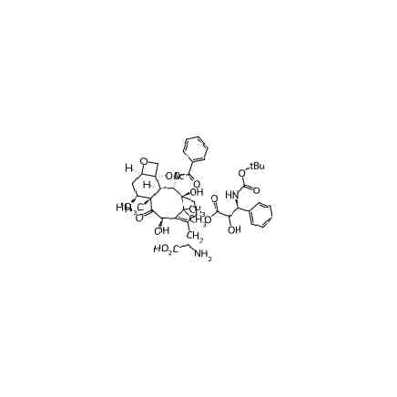 CC(=O)O[C@@]12CO[C@@H]1C[C@H](O)[C@@]1(C)C(=O)[C@H](O)C3=C(C)[C@@H](OC(=O)C(O)[C@@H](NC(=O)OC(C)(C)C)c4ccccc4)C[C@@](O)([C@@H](OC(=O)c4ccccc4)[C@H]21)C3(C)C.NCC(=O)O